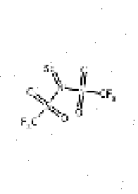 O=S(=O)([N+](=[Sc])S(=O)(=O)C(F)(F)F)C(F)(F)F